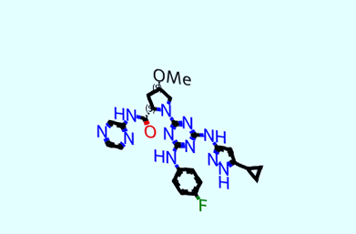 CO[C@H]1C[C@@H](C(=O)Nc2cnccn2)N(c2nc(Nc3ccc(F)cc3)nc(Nc3cc(C4CC4)[nH]n3)n2)C1